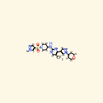 Cn1cc(S(=O)(=O)N2CCC(Nc3ncc(C(F)(F)F)c(-c4cnn(C5CCOCC5)c4)n3)CC2)cn1